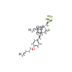 CCCCOc1ccc(C#Cc2cc(F)c(C#CS(F)(F)(F)(F)F)cc2C(C)(C)C)cc1